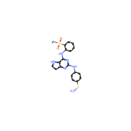 CC(C)S(=O)(=O)c1ccccc1Nc1nc(Nc2ccc(SN)cc2)nc2cc[nH]c12